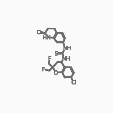 O=C1CCc2ccc(NC(=S)N[C@@H]3CC(CF)(CF)Oc4cc(Cl)ccc43)cc2N1